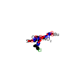 CC1(C)CCC(CN2CCN(c3ccc(N(C=O)S(=O)(=O)c4ccc(NCCCN5CCN(C(=O)OC(C)(C)C)CC5)c([N+](=O)[O-])c4)c(N4CCCOc5nc6c(ccn6COCC[Si](C)(C)C)cc54)c3)CC2)=C(c2ccc(Cl)cc2)C1